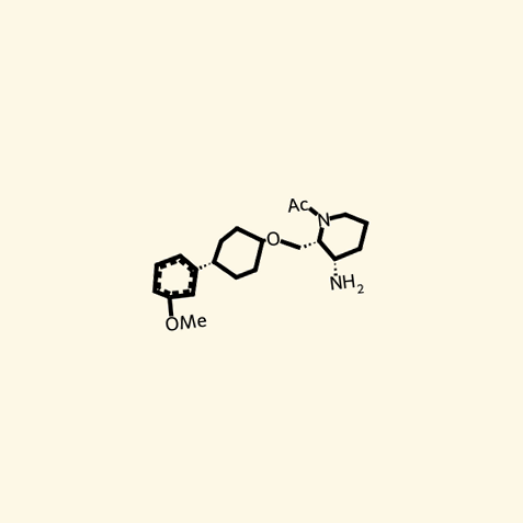 COc1cccc([C@H]2CC[C@@H](OC[C@H]3[C@@H](N)CCCN3C(C)=O)CC2)c1